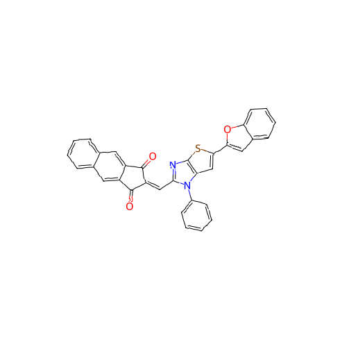 O=C1C(=Cc2nc3sc(-c4cc5ccccc5o4)cc3n2-c2ccccc2)C(=O)c2cc3ccccc3cc21